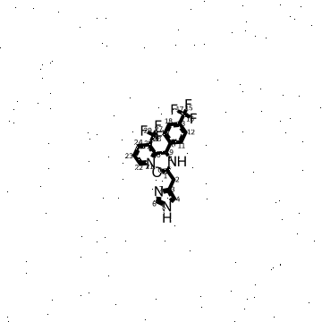 O=C(Cc1c[nH]cn1)NC(c1ccc(C(F)(F)F)cc1)c1ncccc1C(F)(F)F